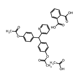 CC(=O)O.CC(=O)Oc1ccc(C(c2ccc(OC(C)=O)cc2)c2ccccn2)cc1.O=C(O)c1ccccc1C(=O)O